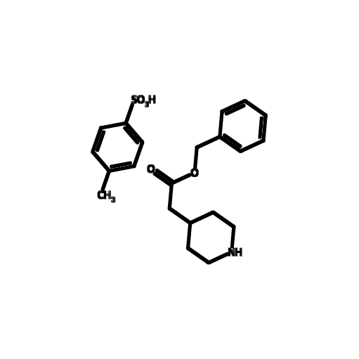 Cc1ccc(S(=O)(=O)O)cc1.O=C(CC1CCNCC1)OCc1ccccc1